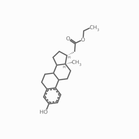 CCOC(=O)C[C@H]1CCC2C3CCc4cc(O)ccc4C3CC[C@@]21C